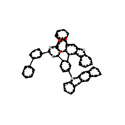 c1ccc(-c2cccc(-c3nc(-c4ccccc4)nc(-c4ccc(-n5c6ccccc6c6cc7ccccc7cc65)cc4-c4c5ccccc5cc5oc6ccccc6c45)n3)c2)cc1